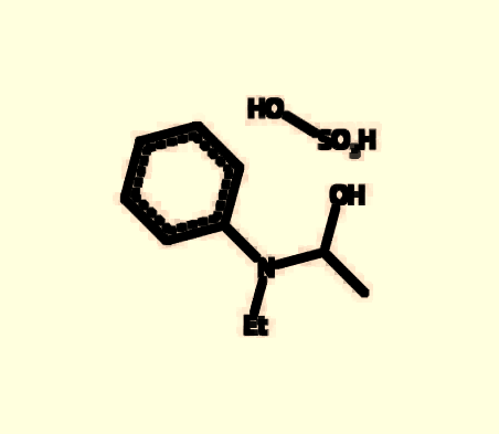 CCN(c1ccccc1)C(C)O.O=S(=O)(O)O